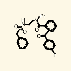 CC(C)N(CCNS(=O)(=O)Cc1ccccc1)C(=O)c1ccccc1C(=O)c1ccc(F)cc1